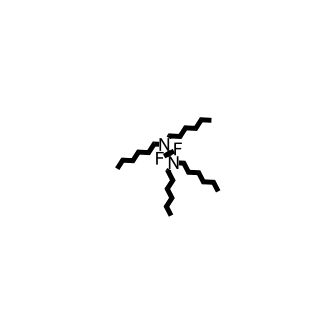 CCCCCCN(CCCCCC)C(F)(F)N(CCCCCC)CCCCCC